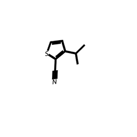 CC(C)c1ccsc1C#N